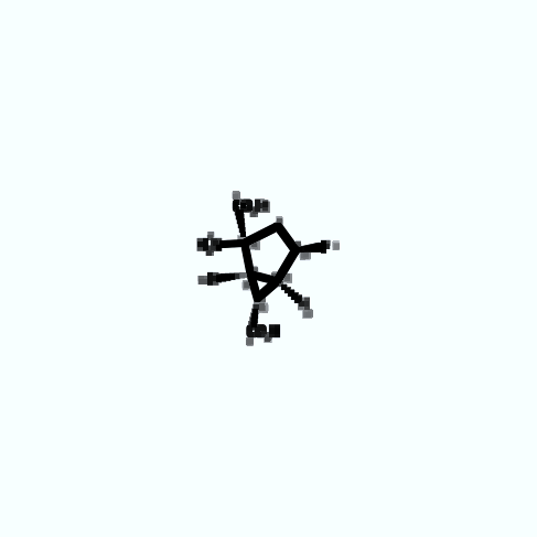 CCOC(=O)[C@]1(N)C[C@@H](F)[C@H]2[C@H](C(=O)O)[C@H]21